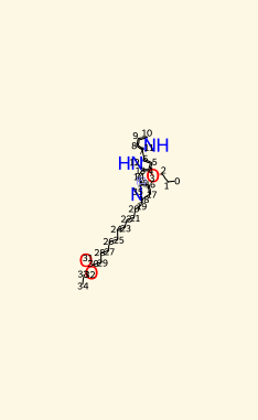 CCCOc1cc(-c2ccc[nH]2)[nH]c1/C=C1\C=CC(CCCCCCCCCCCC(=O)OCC)=N1